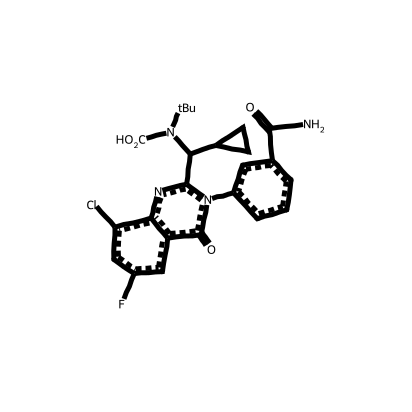 CC(C)(C)N(C(=O)O)C(c1nc2c(Cl)cc(F)cc2c(=O)n1-c1cccc(C(N)=O)c1)C1CC1